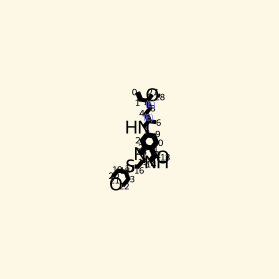 C=C/C(=C\C=C(/C)Nc1ccc2c(=O)[nH]c(CSC3CCOCC3)nc2c1)OC